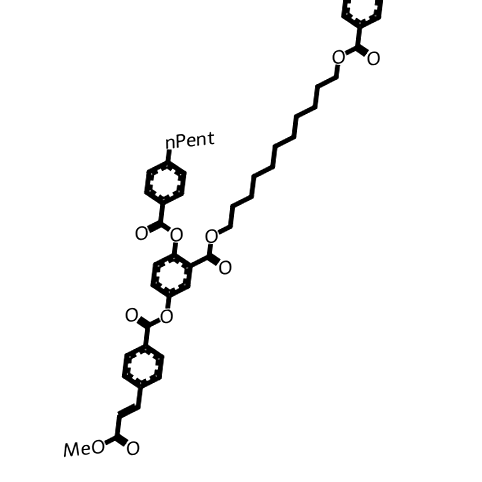 CCCCCc1ccc(C(=O)Oc2ccc(OC(=O)c3ccc(C=CC(=O)OC)cc3)cc2C(=O)OCCCCCCCCCCCOC(=O)c2cc([N+](=O)[O-])cc([N+](=O)[O-])c2)cc1